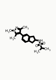 Cc1nn(C)c(C)c1-c1ccc2c(c1)CC(NS(=O)(=O)C(C)C)C2